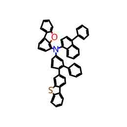 c1ccc(-c2cc(N(c3ccc(-c4ccccc4)c4ccccc34)c3cccc4c3oc3ccccc34)ccc2-c2ccc3c(c2)sc2ccccc23)cc1